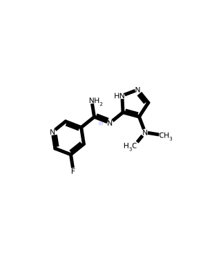 CN(C)c1cn[nH]c1/N=C(\N)c1cncc(F)c1